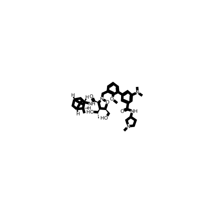 COc1c(CN2O[C@@H](CO)[C@@H]([C@H](C)O)[C@H]2C(=O)N[C@H]2C[C@H]3C[C@@H]([C@@H]2C)C3(C)C)cccc1-c1cc(C(=O)NC2CCN(C)C2)cc(N(C)C)c1